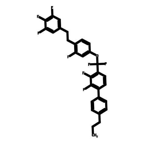 CCCc1ccc(-c2ccc(C(F)(F)Oc3ccc(CCc4cc(F)c(F)c(F)c4)c(F)c3)c(F)c2F)cc1